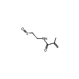 C=C(C)C(=O)NCC[S+]=O